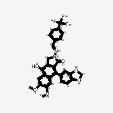 COc1cc2c(O)c3c(c(-c4ccc5c(c4)OCO5)c2cc1OC)C(=O)N(/N=C/c1ccc(C(F)(F)F)cc1)C3